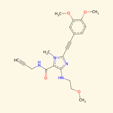 C#CCNC(=O)c1c(NCCOC)nc(C#Cc2ccc(OC)c(OC)c2)n1C